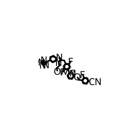 COCCn1c(Cc2cc(F)c(-c3cccc(OCc4ccc(C#N)cc4F)n3)cc2F)nc2ccc(-c3nnn(C)n3)cc21